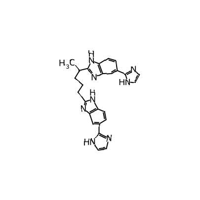 CC(CCCc1nc2cc(-c3ncc[nH]3)ccc2[nH]1)c1nc2cc(-c3ncc[nH]3)ccc2[nH]1